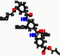 C=CCOC(=O)c1ccc(NC(O)c2ccc(NC(=O)c3ccc(C)c(OCCOCC(C)C)c3)c(OCC(C)C)c2)c(OCC(C)C)c1